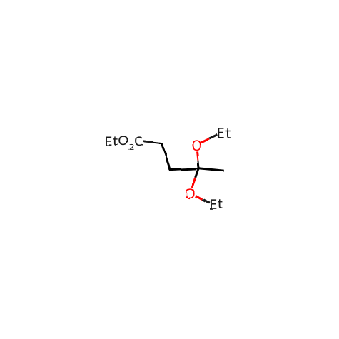 CCOC(=O)CCC(C)(OCC)OCC